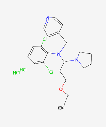 CC(C)(C)COCCC(N1CCCC1)N(Cc1ccncc1)c1c(Cl)cccc1Cl.Cl.Cl